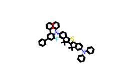 CC1(C)c2cc(N(c3ccccc3)c3ccccc3)ccc2-c2sc3c(c21)C(C)(C)c1cc(N(c2ccccc2)c2c(F)cc(-c4ccccc4)cc2-c2ccccc2)ccc1-3